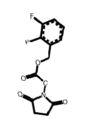 O=C(OCc1cccc(F)c1F)ON1C(=O)CCC1=O